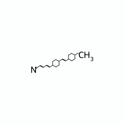 CCC1CCC(C=CC2CCC(C=CC=CC#N)CC2)CC1